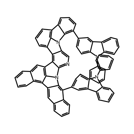 c1ccc(-n2c3ccccc3c3cc(-c4cccc5c6cccc7c8c9c%10cc%11ccccc%11c%11c%12cc%13ccccc%13c(-c%13ccc%14c(c%13)c%13ccccc%13n%14-c%13ccccc%13)c%12n(c9ncc8n(c45)c67)c%10%11)ccc32)cc1